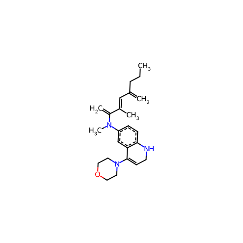 C=C(/C=C(\C)C(=C)N(C)c1ccc2c(c1)C(N1CCOCC1)=CCN2)CCC